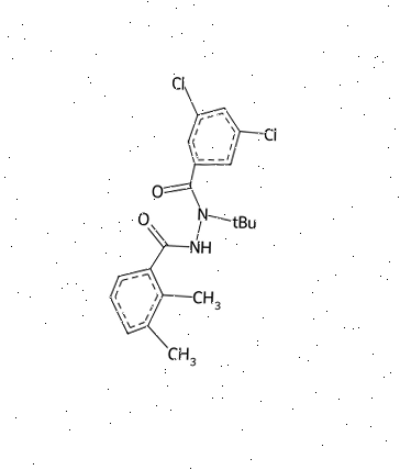 Cc1cccc(C(=O)NN(C(=O)c2cc(Cl)cc(Cl)c2)C(C)(C)C)c1C